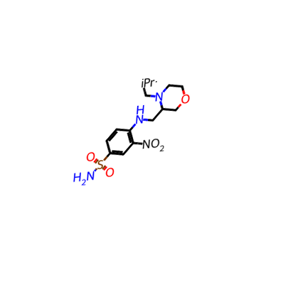 C[C](C)CN1CCOCC1CNc1ccc(S(N)(=O)=O)cc1[N+](=O)[O-]